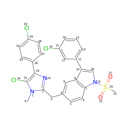 Cn1c(Cc2ccc3c(c2)c(-c2cccc(Cl)c2)cn3S(C)(=O)=O)nc(-c2ccc(Cl)cc2)c1Cl